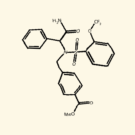 COC(=O)c1ccc(CN(C(C(N)=O)c2ccccc2)S(=O)(=O)c2ccccc2OC(F)(F)F)cc1